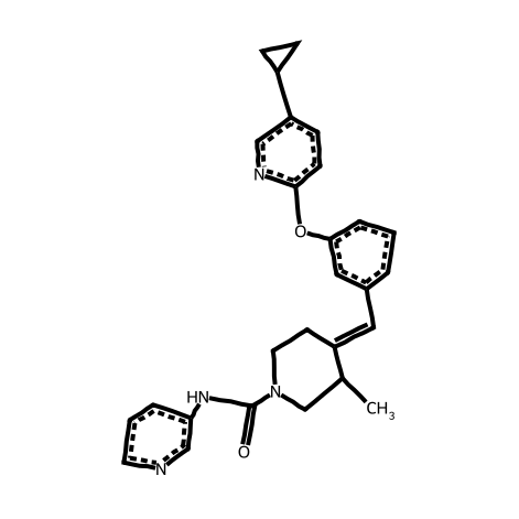 CC1CN(C(=O)Nc2cccnc2)CCC1=Cc1cccc(Oc2ccc(C3CC3)cn2)c1